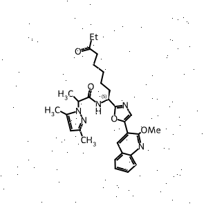 CCC(=O)CCCCC[C@H](NC(=O)C(C)n1nc(C)cc1C)c1ncc(-c2cc3ccccc3nc2OC)o1